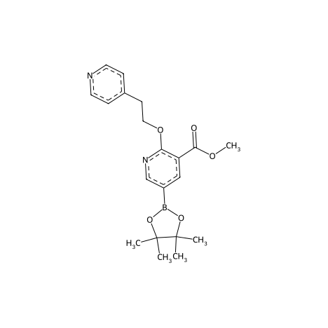 COC(=O)c1cc(B2OC(C)(C)C(C)(C)O2)cnc1OCCc1ccncc1